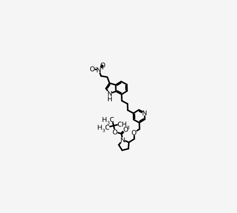 CC(C)(C)OC(=O)N1CCCC1COCc1cncc(CCCc2cccc3c(CC[N+](=O)[O-])c[nH]c23)c1